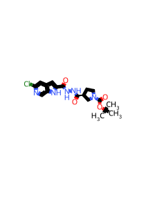 CC(C)(C)OC(=O)N1CC[C@H](C(=O)NNC(=O)c2cc3cc(Cl)ncc3[nH]2)C1